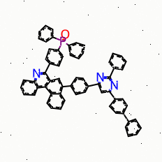 O=P(c1ccccc1)(c1ccccc1)c1ccc(-c2nc3ccccc3c3c2cc(-c2ccc(-c4cc(-c5ccc(-c6ccccc6)cc5)nc(-c5ccccc5)n4)cc2)c2ccccc23)cc1